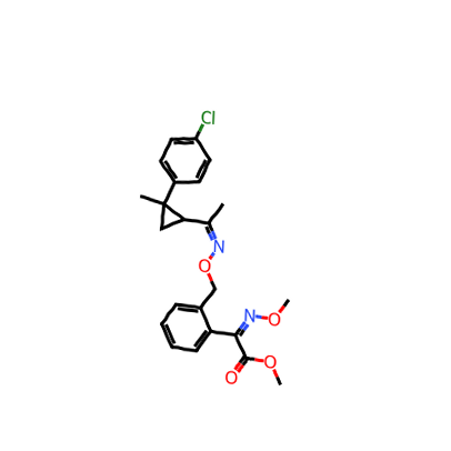 CON=C(C(=O)OC)c1ccccc1CON=C(C)C1CC1(C)c1ccc(Cl)cc1